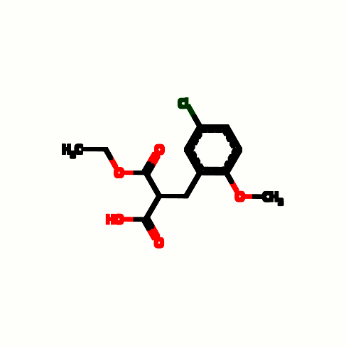 CCOC(=O)C(Cc1cc(Cl)ccc1OC)C(=O)O